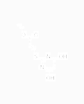 CCOC(=O)CCSc1nc(O)cc(O)n1